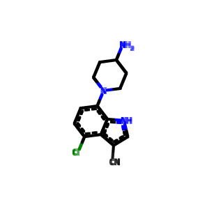 N#Cc1c[nH]c2c(N3CCC(N)CC3)ccc(Cl)c12